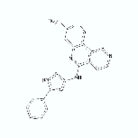 C=C(/C=c1/nc(Nc2cc(-c3ccccc3)[nH]n2)c2ccncc2/c1=C/C)C(=O)O